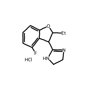 CCC1Oc2cccc(F)c2C1C1=NCCN1.Cl